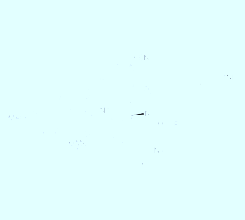 CCOc1ncccc1[C@]1(NC(=O)C2CCC3(CCNCC3)CC2)C(=O)N(S(=O)(=O)c2ccc(OC)cc2OC)c2ccc(C#N)cc21